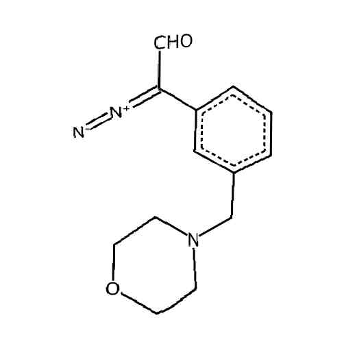 [N-]=[N+]=C(C=O)c1cccc(CN2CCOCC2)c1